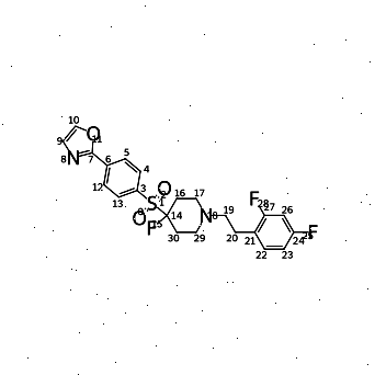 O=S(=O)(c1ccc(-c2ncco2)cc1)C1(F)CCN(CCc2ccc(F)cc2F)CC1